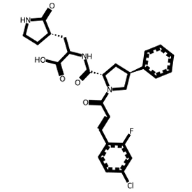 O=C(O)C(C[C@@H]1CCNC1=O)NC(=O)[C@@H]1C[C@@H](c2ccccc2)CN1C(=O)/C=C/c1ccc(Cl)cc1F